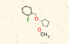 CO[C@H]1CCC[C@H]1OCc1ccccc1F